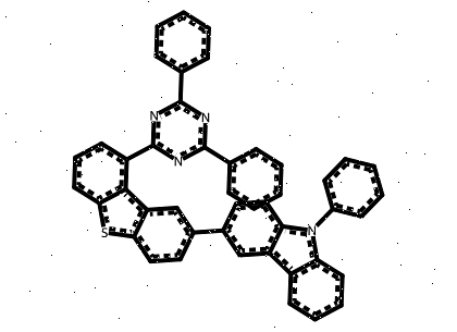 c1ccc(-c2nc(-c3ccccc3)nc(-c3cccc4sc5ccc(-c6ccc7c(c6)c6ccccc6n7-c6ccccc6)cc5c34)n2)cc1